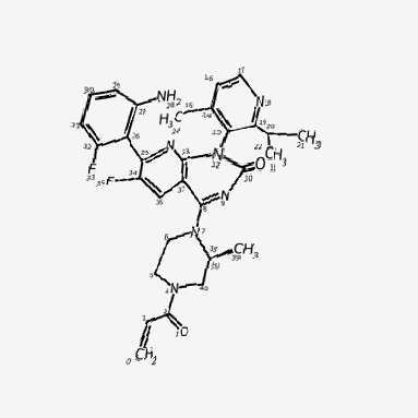 C=CC(=O)N1CCN(c2nc(=O)n(-c3c(C)ccnc3C(C)C)c3nc(-c4c(N)cccc4F)c(F)cc23)[C@@H](C)C1